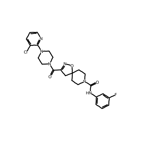 O=C(Nc1cccc(F)c1)N1CCC2(CC1)CC(C(=O)N1CCN(c3ncccc3Cl)CC1)=NO2